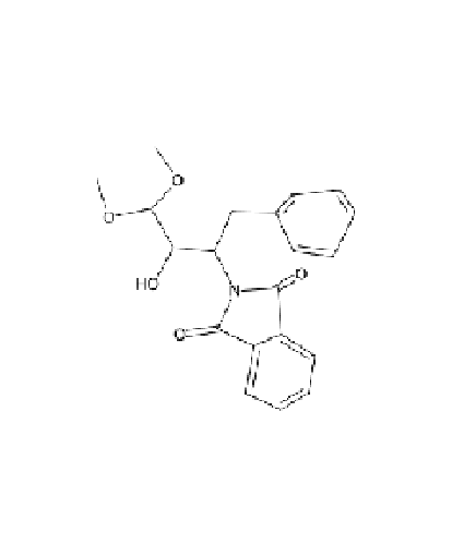 COC(OC)C(O)C(Cc1ccccc1)N1C(=O)c2ccccc2C1=O